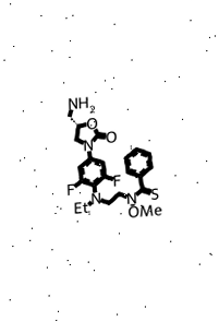 CCN(CCN(OC)C(=S)c1ccccc1)c1c(F)cc(N2C[C@H](CN)OC2=O)cc1F